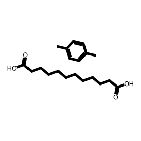 Cc1ccc(C)cc1.O=C(O)CCCCCCCCCCC(=O)O